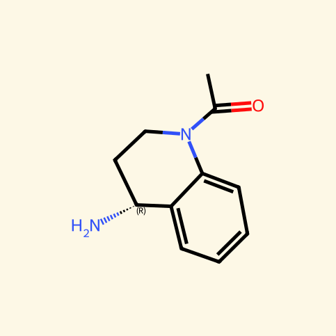 CC(=O)N1CC[C@@H](N)c2ccccc21